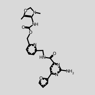 CC1=C(NC(=O)OCc2cccc(CNC(=O)c3cc(-c4ccco4)nc(N)n3)n2)N(C)CO1